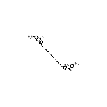 CCCCC(c1ccc(CCCCCCCCCCCCCCCCCc2ccc(C(CCCC)c3ccc(N)cc3C)cc2)cc1)c1ccc(N)cc1C